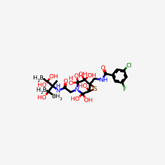 BC(B)(O)C(C)(NC(=O)CN1C(O)(O)C(O)(O)C2(CNC(=O)c3cc(F)cc(Cl)c3)SC2(O)C1(O)O)C(B)(O)O